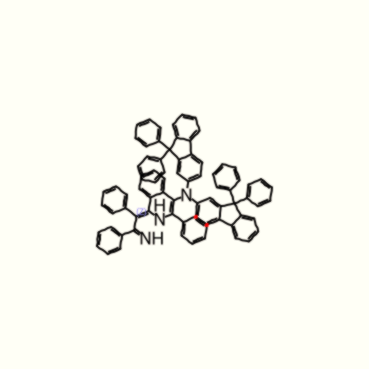 N=C(/C(=C1\NC(c2ccccc2)=C(N(c2ccc3c(c2)C(c2ccccc2)(c2ccccc2)c2ccccc2-3)c2ccc3c(c2)C(c2ccccc2)(c2ccccc2)c2ccccc2-3)c2ccccc21)c1ccccc1)c1ccccc1